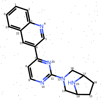 c1ccc2ncc(-c3ccnc(N4CC5CCC(C4)N5)n3)cc2c1